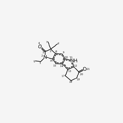 CCN1C(=O)C(C)(C)c2cc3[nH]c4c(c3cc21)CCCC4=O